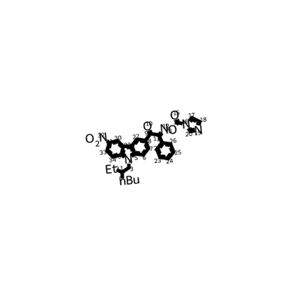 CCCCC(CC)Cn1c2ccc(C(=O)/C(=N/OC(=O)n3ccnc3)c3ccccc3)cc2c2cc([N+](=O)[O-])ccc21